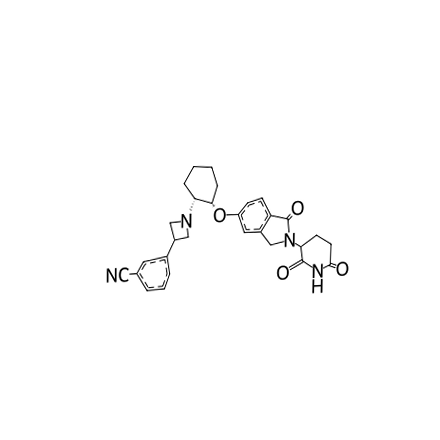 N#Cc1cccc(C2CN([C@@H]3CCCC[C@@H]3Oc3ccc4c(c3)CN(C3CCC(=O)NC3=O)C4=O)C2)c1